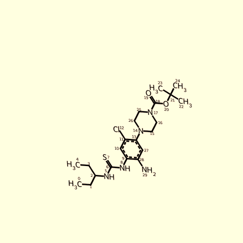 CCC(CC)NC(=S)Nc1cc(Cl)c(N2CCN(C(=O)OC(C)(C)C)CC2)cc1N